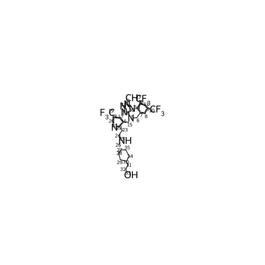 Cn1nnc(N(Cc2cc(C(F)(F)F)cc(C(F)(F)F)c2)Cc2cc(C(F)(F)F)cnc2CCNC[C@H]2CC[C@H](CCO)CC2)n1